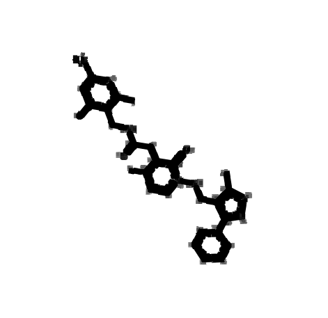 Cc1cc(N)nc(C)c1CNC(=O)Cc1c(C)ccn(NCc2c(C)noc2-c2ccccc2)c1=O